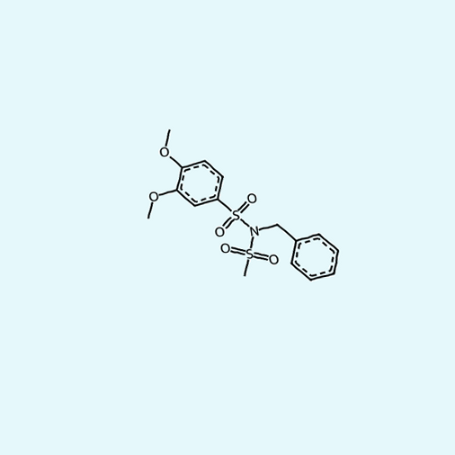 COc1ccc(S(=O)(=O)N(Cc2ccccc2)S(C)(=O)=O)cc1OC